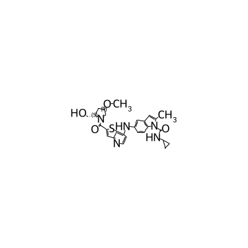 CO[C@@H]1C[C@@H](CO)N(C(=O)c2cc3nccc(Nc4ccc5c(c4)cc(C)n5C(=O)NC4CC4)c3s2)C1